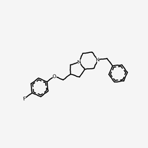 Fc1ccc(OCC2CC3CN(Cc4ccccc4)CCN3C2)cc1